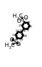 CS(=O)(=O)c1[c]ccc(-c2ccc(S(C)(=O)=O)cc2)c1